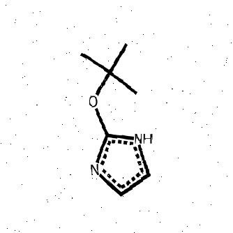 CC(C)(C)Oc1ncc[nH]1